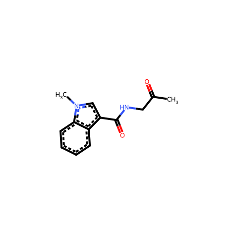 CC(=O)CNC(=O)c1cn(C)c2ccccc12